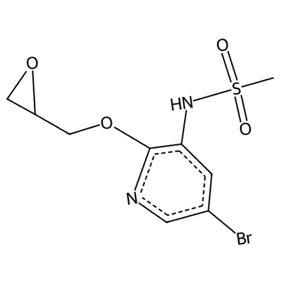 CS(=O)(=O)Nc1cc(Br)cnc1OCC1CO1